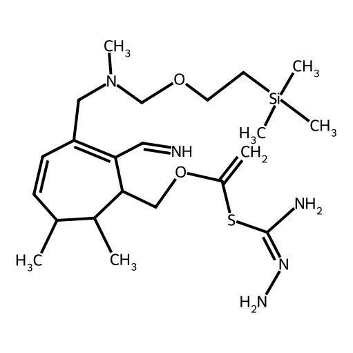 C=C(OCC1C(C=N)=C(CN(C)COCC[Si](C)(C)C)C=CC(C)C1C)S/C(N)=N\N